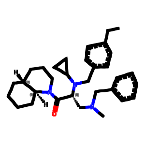 CCc1ccc(CN(C2CC2)[C@H](CN(C)Cc2ccccc2)C(=O)N2CCC[C@H]3CCCC[C@@H]32)cc1